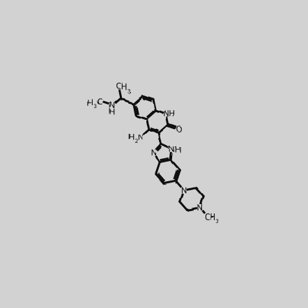 CNC(C)c1ccc2[nH]c(=O)c(-c3nc4ccc(N5CCN(C)CC5)cc4[nH]3)c(N)c2c1